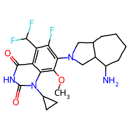 COc1c(N2CC3CCCCC(N)C3C2)c(F)c(C(F)F)c2c(=O)[nH]c(=O)n(C3CC3)c12